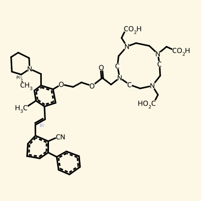 Cc1cc(CN2CCCC[C@H]2C)c(OCCOC(=O)CN2CCN(CC(=O)O)CCN(CC(=O)O)CCN(CC(=O)O)CC2)cc1/C=C/c1cccc(-c2ccccc2)c1C#N